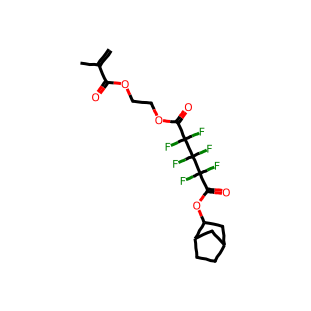 C=C(C)C(=O)OCCOC(=O)C(F)(F)C(F)(F)C(F)(F)C(=O)OC1CC2CCC1C2